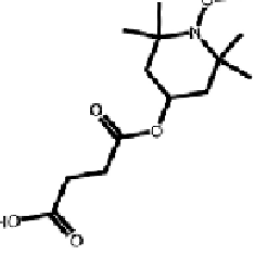 CON1C(C)(C)CC(OC(=O)CCC(=O)O)CC1(C)C